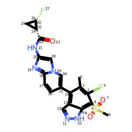 Cc1c(F)c(S(C)(=O)=O)c2[nH]ncc2c1-c1ccc2nc(NC(=O)[C@@H]3C[C@@H]3F)cn2c1